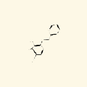 Cc1c(OCc2ccccn2)ccc(N)c1F